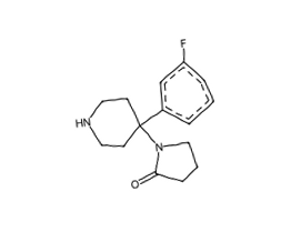 O=C1CCCN1C1(c2cccc(F)c2)CCNCC1